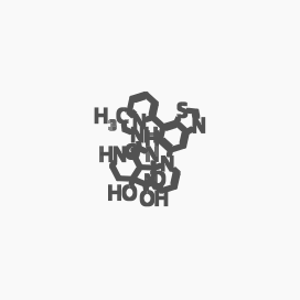 CCNC(=O)NC1(C2CNCCC2(O)C(=O)O)N=CC=CN1c1cc(-c2ccccn2)c2scnc2c1